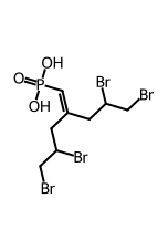 O=P(O)(O)C=C(CC(Br)CBr)CC(Br)CBr